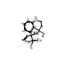 C=CC(O)(CC1(SC)CCOc2ccccc21)C(F)(F)F